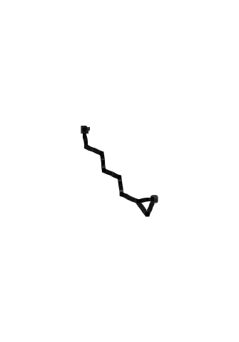 BrCCCCCC1CO1